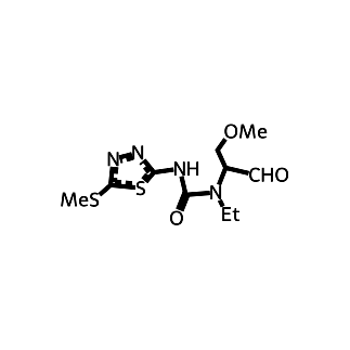 CCN(C(=O)Nc1nnc(SC)s1)C(C=O)COC